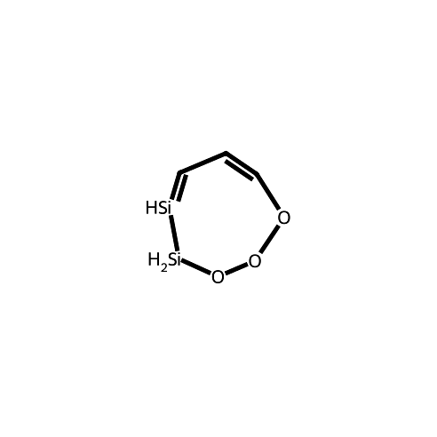 C1=C\OOO[SiH2]\[SiH]=C/1